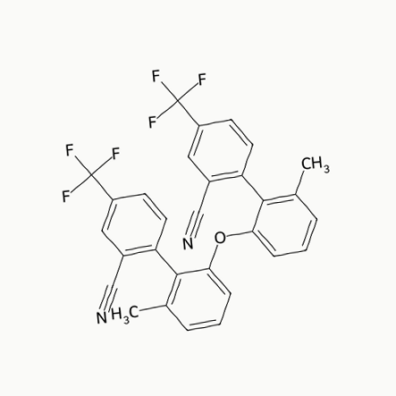 Cc1cccc(Oc2cccc(C)c2-c2ccc(C(F)(F)F)cc2C#N)c1-c1ccc(C(F)(F)F)cc1C#N